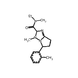 CCN(C)C(=O)C1N=C2CCC(c3ccccc3C)N2N1C